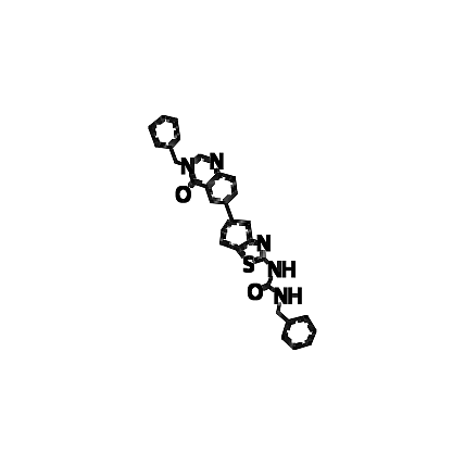 O=C(NCc1ccccc1)Nc1nc2cc(-c3ccc4ncn(Cc5ccccc5)c(=O)c4c3)ccc2s1